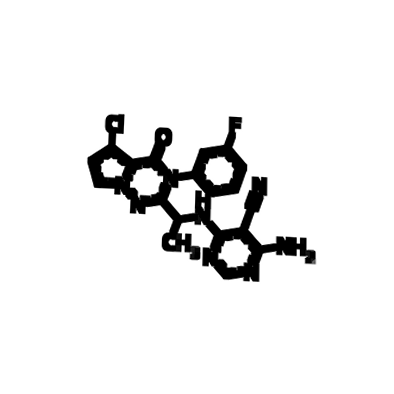 CC(Nc1ncnc(N)c1C#N)c1nn2ccc(Cl)c2c(=O)n1-c1cccc(F)c1